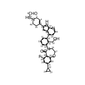 O=CBN1CC=C(c2cc3c(-c4cccc(N5CCOc6cc(C7CC7)cc(F)c6C5=O)c4CO)ccnc3[nH]2)CC1